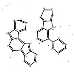 c1ccc(-c2cccc3c2[nH]c2ccccc23)cc1.c1ccc2c(c1)N=c1ccc3c(c1-2)N=c1ccccc1=3